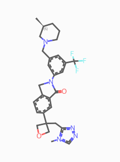 C[C@H]1CCCN(Cc2cc(N3Cc4ccc(C5(Cc6nncn6C)COC5)cc4C3=O)cc(C(F)(F)F)c2)C1